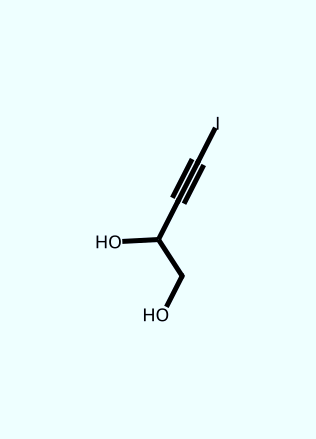 OCC(O)C#CI